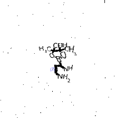 CC1(C)OB(C(=N)/C=C\N)OC1(C)C